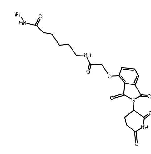 CC(C)NC(=O)CCCCCNC(=O)COc1cccc2c1C(=O)N(C1CCC(=O)NC1=O)C2=O